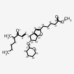 CCCCC(C)C(=O)/C=C/[C@@H]1c2cc(CCCCC(=O)OC)oc2C[C@H]1OC1CCCCO1